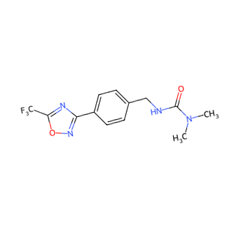 CN(C)C(=O)NCc1ccc(-c2noc(C(F)(F)F)n2)cc1